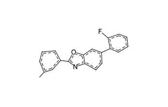 Cc1cccc(-c2nc3ccc(-c4ccccc4F)cc3o2)c1